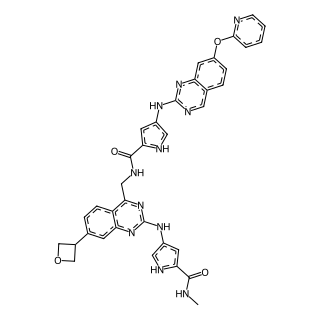 CNC(=O)c1cc(Nc2nc(CNC(=O)c3cc(Nc4ncc5ccc(Oc6ccccn6)cc5n4)c[nH]3)c3ccc(C4COC4)cc3n2)c[nH]1